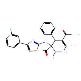 COC(=O)C1=C(C)NC(C)C(Nc2nc(-c3cccc(Cl)c3)cs2)(C(=O)OC)C1c1ccccc1